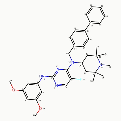 COc1cc(Nc2ncc(F)c(N(Cc3ccc(-c4ccccc4)cc3)C3CC(C)(C)N(C)C(C)(C)C3)n2)cc(OC)c1